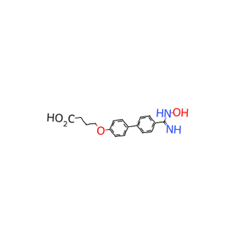 N=C(NO)c1ccc(-c2ccc(OCCCC(=O)O)cc2)cc1